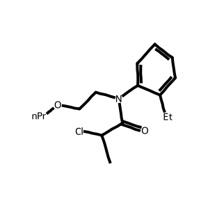 CCCOCCN(C(=O)C(C)Cl)c1ccccc1CC